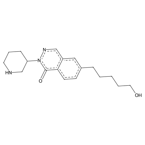 O=c1c2ccc(CCCCCO)cc2cnn1C1CCCNC1